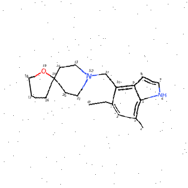 Cc1cc(C)c2[nH]ccc2c1CN1CCC2(CCCO2)CC1